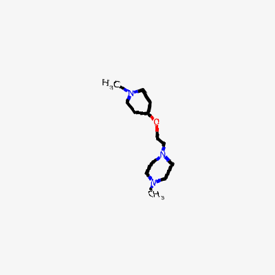 CN1CCC(OCCN2CCN(C)CC2)CC1